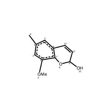 COc1cc(C)cc2c1OC(O)C=C2